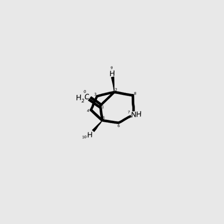 C=C1[C@@H]2CC[C@H]1CNC2